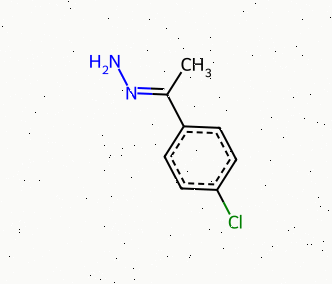 CC(=NN)c1ccc(Cl)cc1